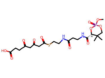 COP1(=O)OCC(C)(C)[C@H](C(=O)NCCC(=O)NCCSC(=O)CC(=O)CC(=O)CCC(=O)O)O1